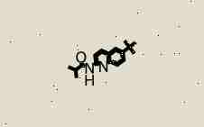 CC(C)C(=O)Nc1ccc2cc(C(C)(C)C)ccc2n1